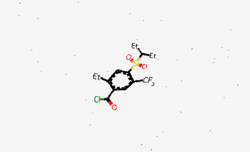 CCc1cc(S(=O)(=O)C(CC)CC)c(C(F)(F)F)cc1C(=O)Cl